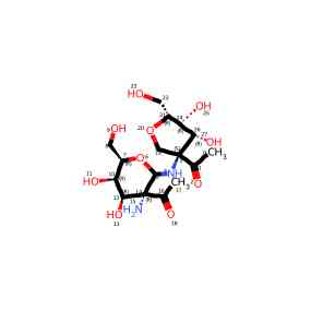 CC(=O)[C@]1(NC2O[C@H](CO)[C@H](O)[C@H](O)[C@]2(N)C(C)=O)[CH]O[C@H](CO)[C@H](O)[C@@H]1O